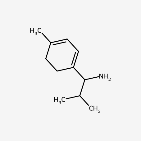 CC1=CC=C(C(N)C(C)C)CC1